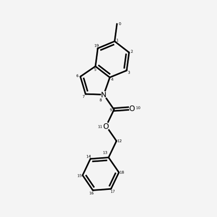 Cc1ccc2c(ccn2C(=O)OCc2ccccc2)c1